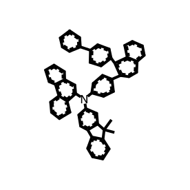 CC1(C)c2ccccc2-c2ccc(N(c3ccc(-c4ccc5ccccc5c4-c4ccc(-c5ccccc5)cc4)cc3)c3cc4ccccc4c4ccccc34)cc21